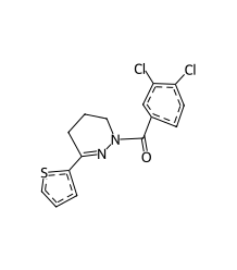 O=C(c1ccc(Cl)c(Cl)c1)N1CCCC(c2cccs2)=N1